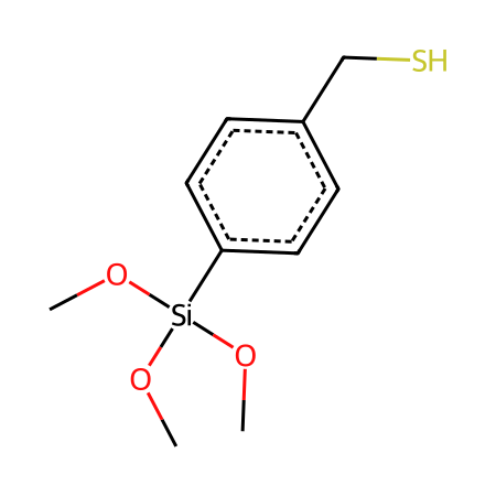 CO[Si](OC)(OC)c1ccc(CS)cc1